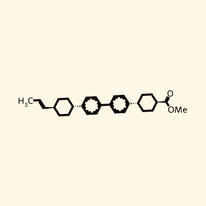 CC=C[C@H]1CC[C@H](c2ccc(-c3ccc([C@H]4CC[C@H](C(=O)OC)CC4)cc3)cc2)CC1